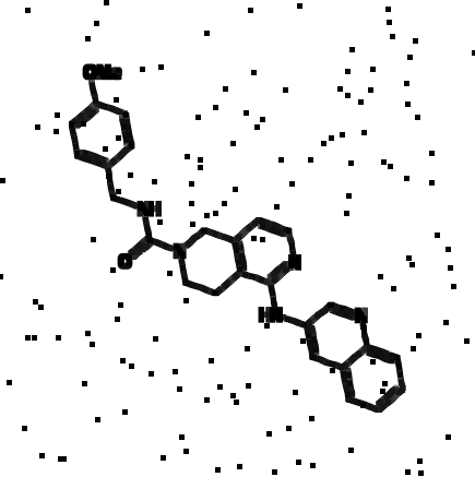 COc1ccc(CNC(=O)N2CCc3c(ccnc3Nc3cnc4ccccc4c3)C2)cc1